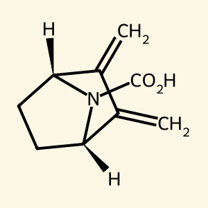 C=C1C(=C)[C@@H]2CC[C@H]1N2C(=O)O